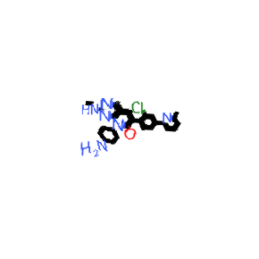 CCNc1ncc2cc(-c3ccc(-c4cccc(C)n4)cc3Cl)c(=O)n([C@H]3CC[C@H](N)CC3)c2n1